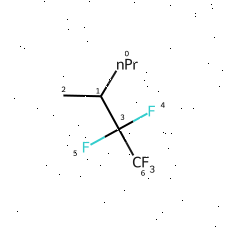 [CH2]CCC(C)C(F)(F)C(F)(F)F